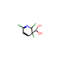 OB(O)C1(F)C=CC(F)=NC1F